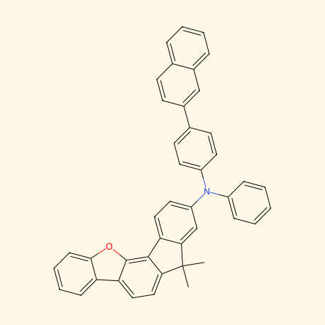 CC1(C)c2cc(N(c3ccccc3)c3ccc(-c4ccc5ccccc5c4)cc3)ccc2-c2c1ccc1c2oc2ccccc21